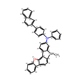 C[SiH]1c2cc(N(c3ccccc3)c3ccc(-c4ccc5ccccc5c4)cc3)ccc2-c2c1ccc1c2oc2ccccc21